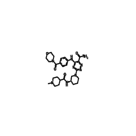 CN1CCC(C(=O)N[C@@H]2CCCN(c3nnc(C(N)=O)c(Nc4ccc(C(=O)N5CCOCC5)cc4)n3)C2)CC1